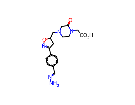 NN=Cc1ccc(C2=NOC(CN3CCN(CC(=O)O)C(=O)C3)C2)cc1